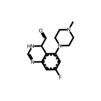 CN1CCN(c2cc(F)cc3c2C(C=O)NC=N3)CC1